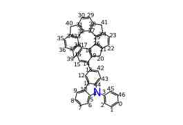 c1ccc(-n2c3ccccc3c3cc(-c4cc5c6c7c4Cc4ccc8c(c4-7)-c4c(ccc7c4-c4c(ccc(c4-6)C5)C7)C8)ccc32)cc1